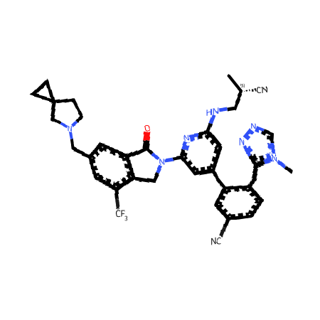 C[C@H](C#N)CNc1cc(-c2cc(C#N)ccc2-c2nncn2C)cc(N2Cc3c(cc(CN4CCC5(CC5)C4)cc3C(F)(F)F)C2=O)n1